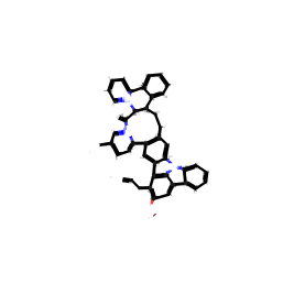 C=CCc1c(OC)cc2c3ccccc3n3c4cc5c(cc4c1c23)-c1ccc(C)c[n+]1C(=C)C1C(CC5)c2ccccc2-c2cccc[n+]21